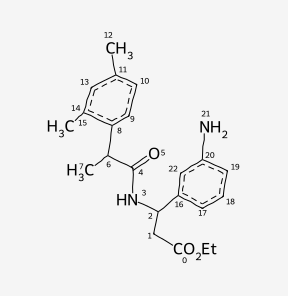 CCOC(=O)CC(NC(=O)C(C)c1ccc(C)cc1C)c1cccc(N)c1